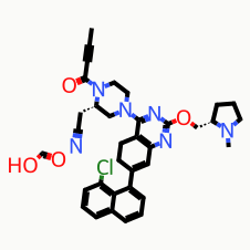 CC#CC(=O)N1CCN(c2nc(OC[C@@H]3CCCN3C)nc3c2CCC(c2cccc4cccc(Cl)c24)=C3)C[C@@H]1CC#N.O=CO